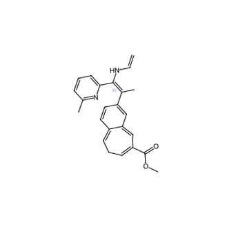 C=CN/C(=C(\C)c1ccc2c(c1)=CC(C(=O)OC)=CCC=2)c1cccc(C)n1